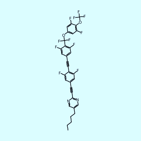 CCCCCc1cnc(C#Cc2cc(F)c(C#Cc3cc(F)c(C(F)(F)Oc4cc(F)c(OC(F)(F)F)c(F)c4)c(F)c3)c(F)c2)nc1